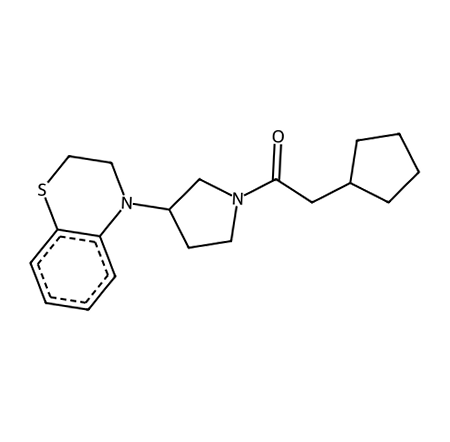 O=C(CC1CCCC1)N1CCC(N2CCSc3ccccc32)C1